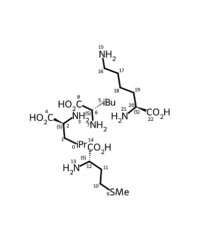 CC(C)C[C@H](N)C(=O)O.CCC(C)[C@H](N)C(=O)O.CSCC[C@H](N)C(=O)O.NCCCC[C@H](N)C(=O)O